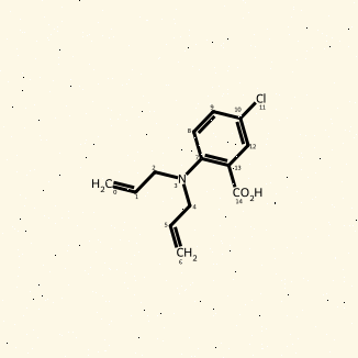 C=CCN(CC=C)c1ccc(Cl)cc1C(=O)O